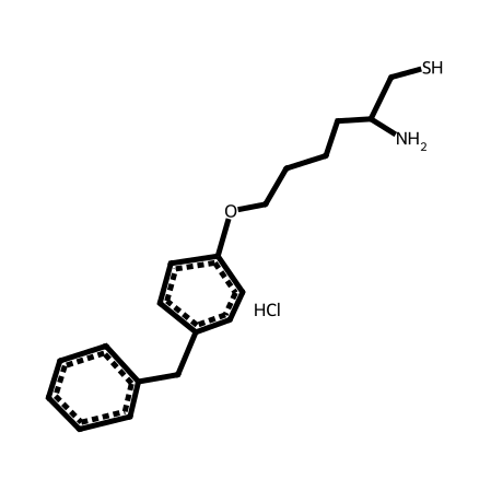 Cl.NC(CS)CCCCOc1ccc(Cc2ccccc2)cc1